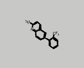 [2H]c1ccc2cc(-c3ccccc3C(F)(F)F)ccc2n1